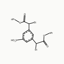 CCCOC(=O)C(CC)c1cc(C(CC)C(=O)OCCC)cc(S(=O)(=O)O)c1